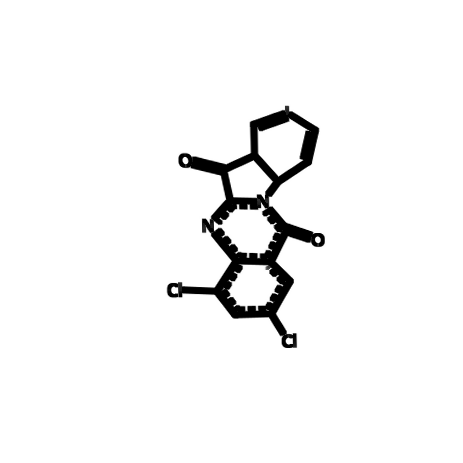 O=C1c2nc3c(Cl)cc(Cl)cc3c(=O)n2C2C=CI=CC12